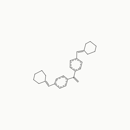 C=C(c1ccc(C=C2CCCCC2)cc1)c1ccc(C=C2CCCCC2)cc1